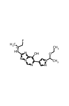 CCOC(C)n1cc(-c2ncn3nc(N[C@@H](C)CF)nc3c2O)cn1